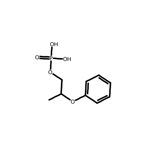 CC(COP(=O)(O)O)Oc1ccccc1